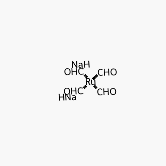 O=[CH][Ru]([CH]=O)([CH]=O)[CH]=O.[NaH].[NaH]